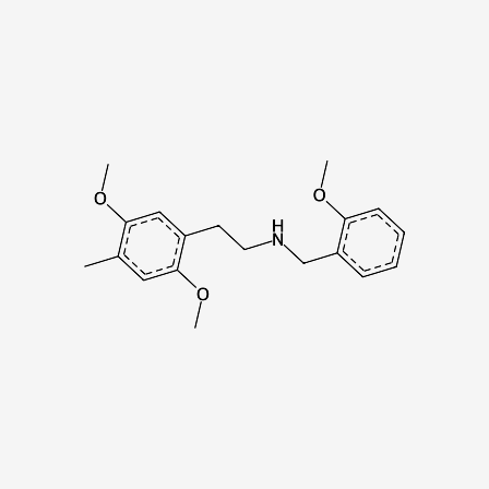 COc1cc(CCNCc2ccccc2OC)c(OC)cc1C